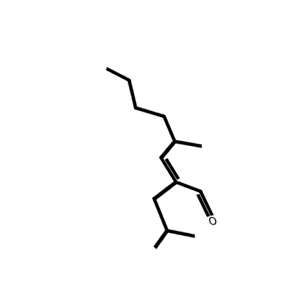 CCCCC(C)C=C(C=O)CC(C)C